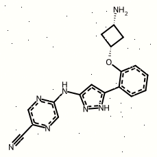 N#Cc1cnc(Nc2cc(-c3ccccc3O[C@H]3C[C@@H](N)C3)[nH]n2)cn1